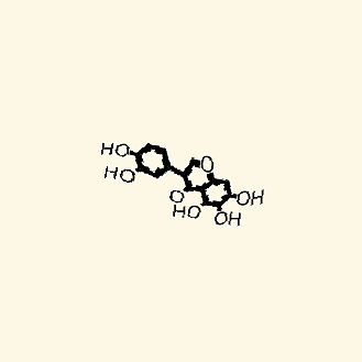 O=c1c(-c2ccc(O)c(O)c2)coc2cc(O)c(O)c(O)c12